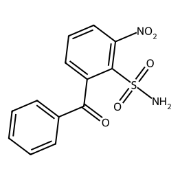 NS(=O)(=O)c1c(C(=O)c2ccccc2)cccc1[N+](=O)[O-]